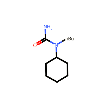 CCCCN(C(N)=O)C1CCCCC1